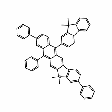 CC1(C)c2ccccc2-c2ccc(-c3c4ccc(-c5ccccc5)cc4c(-c4ccccc4)c4cc5c(cc34)-c3ccc(-c4ccccc4)cc3[Si]5(C)C)cc21